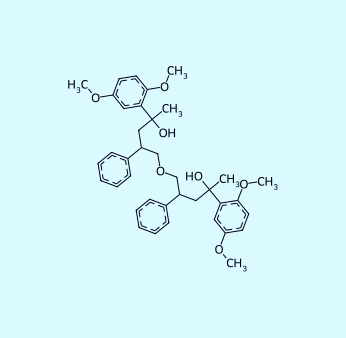 COc1ccc(OC)c(C(C)(O)CC(COCC(CC(C)(O)c2cc(OC)ccc2OC)c2ccccc2)c2ccccc2)c1